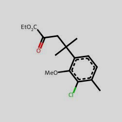 CCOC(=O)C(=O)CC(C)(C)c1ccc(C)c(Cl)c1OC